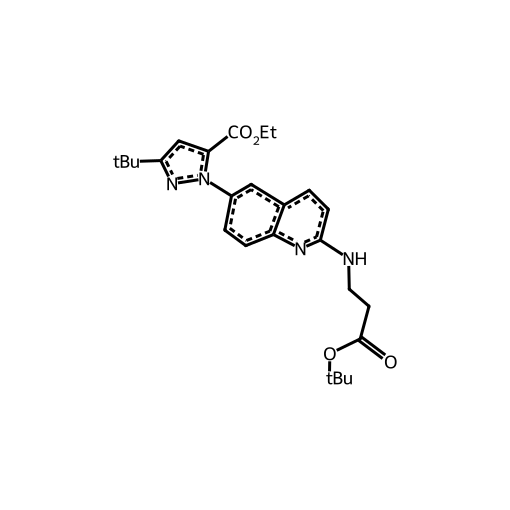 CCOC(=O)c1cc(C(C)(C)C)nn1-c1ccc2nc(NCCC(=O)OC(C)(C)C)ccc2c1